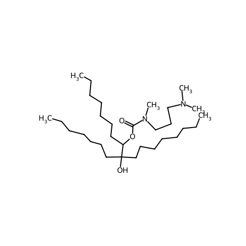 CCCCCCCCC(O)(CCCCCCC)C(CCCCCCC)OC(=O)N(C)CCCN(C)C